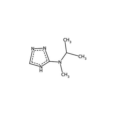 CC(C)N(C)c1nnc[nH]1